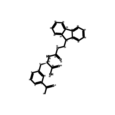 CC(=O)c1cccc(C[C@H](NC(=O)OCC2c3ccccc3-c3ccccc32)C(=O)O)c1